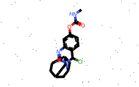 CNC(=O)Oc1ccc2c(c1)N=C1C3CC4CC(C3)CC(C4)N1C2Cl